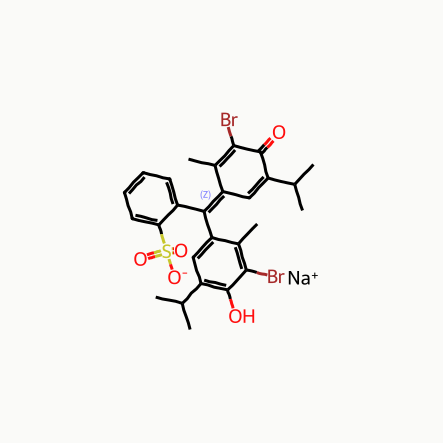 CC1=C(Br)C(=O)C(C(C)C)=C/C1=C(/c1ccccc1S(=O)(=O)[O-])c1cc(C(C)C)c(O)c(Br)c1C.[Na+]